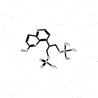 COc1ccc2nccc(C(CO[Si](C)(C)C(C)(C)C)COS(C)(=O)=O)c2n1